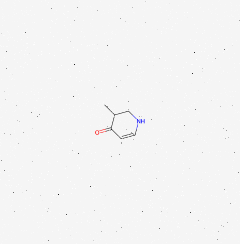 CC1[CH]NC=CC1=O